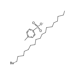 CCCCCCCCCCCCCCCCC[CH2][Ba+].Cc1ccc(S(=O)(=O)[O-])cc1